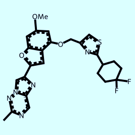 COc1cc(OCc2csc(C3CCC(F)(F)CC3)n2)c2cc(-c3cn4nc(C)ncc4n3)oc2c1